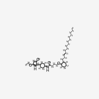 CCCCCCCCCCCC=CCCc1ccccc1OCCCC(=O)Nc1ccc(-n2[nH]c(OCC)cc2=O)cc1